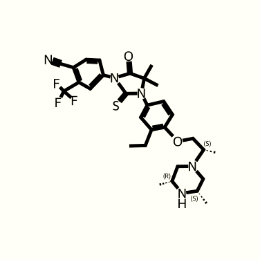 CCc1cc(N2C(=S)N(c3ccc(C#N)c(C(F)(F)F)c3)C(=O)C2(C)C)ccc1OC[C@H](C)N1C[C@@H](C)N[C@@H](C)C1